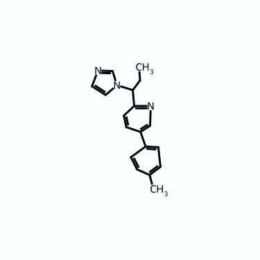 CCC(c1ccc(-c2ccc(C)cc2)cn1)n1ccnc1